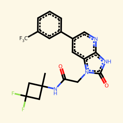 CC1(NC(=O)Cn2c(=O)[nH]c3ncc(-c4cccc(C(F)(F)F)c4)cc32)CC(F)(F)C1